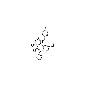 Cc1ccc(Cn2c(C)cc(=O)c(C(=O)Nc3ccccc3)c2-c2cccc(Cl)c2)cc1